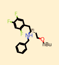 CCCCOCC[C@@H](Cc1cc(F)c(F)cc1F)NCc1ccccc1